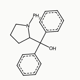 OC(c1ccccc1)(c1ccccc1)C1CCCN1P